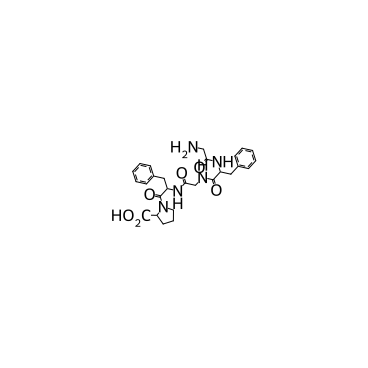 NCC(=O)NC(Cc1ccccc1)C(=O)NCC(=O)NC(Cc1ccccc1)C(=O)N1CCCC1C(=O)O